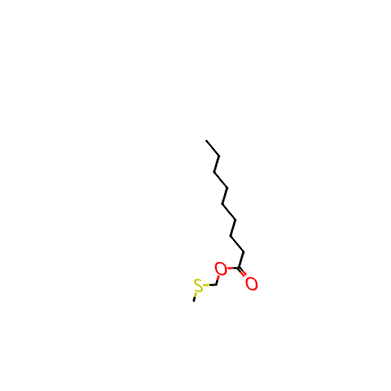 CCCCCCCCC(=O)OCSC